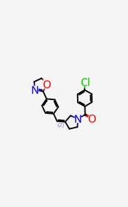 O=C(c1ccc(Cl)cc1)N1CC/C(=C/c2ccc(C3=NCCO3)cc2)C1